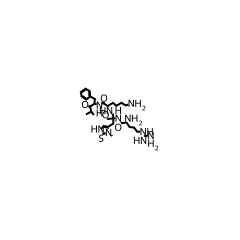 CC(C)C(=O)C(Cc1ccccc1)NC(=O)C(CCCCN)NCC(C=O)(Cc1c[nH]c(=S)n1C)NC(=O)C(N)CCCNC(=N)N